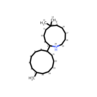 CC1CCCCCC(C2CCCC(C)(C)CCCCCN2)CCCCC1